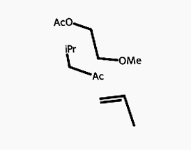 C=CC.CC(=O)CC(C)C.COCCOC(C)=O